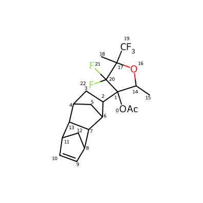 CC(=O)OC1(C2CC3CC2C2C4C=CC(C4)C32)C(C)OC(C)(C(F)(F)F)C1(F)F